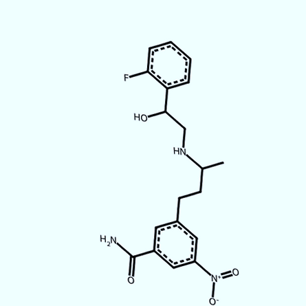 CC(CCc1cc(C(N)=O)cc([N+](=O)[O-])c1)NCC(O)c1ccccc1F